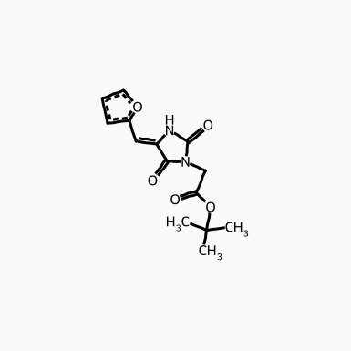 CC(C)(C)OC(=O)CN1C(=O)NC(=Cc2ccco2)C1=O